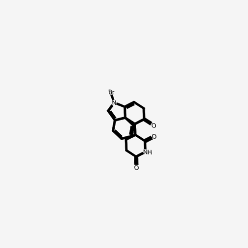 O=C1CCC(C2C(=O)CC=C3N(Br)C=C4C=CC=CC432)C(=O)N1